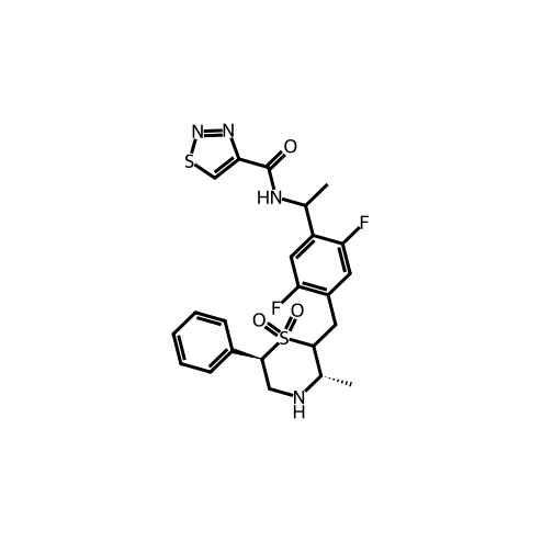 CC(NC(=O)c1csnn1)c1cc(F)c(CC2[C@H](C)NC[C@@H](c3ccccc3)S2(=O)=O)cc1F